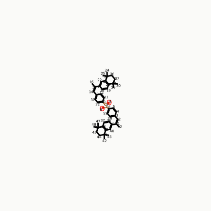 C/C(=C/c1ccc(S(=O)(=O)c2ccc(/C=C(/C)c3ccc4c(c3)C(C)(C)CCC4(C)C)cc2)cc1)c1ccc2c(c1)C(C)(C)CCC2(C)C